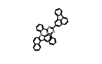 c1ccc(-c2nc(-c3cc4c5c(cccc5c3)-c3ccccc3-4)nc(-c3ccccc3-n3c4ccccc4c4c5ccccc5ccc43)n2)cc1